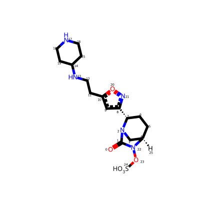 O=C1N2C[C@@H](CC[C@H]2c2cc(CCNC3CCNCC3)on2)N1OS(=O)(=O)O